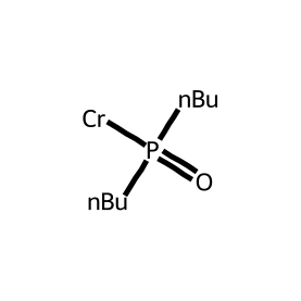 CCCC[P](=O)([Cr])CCCC